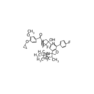 COc1cc(C(=O)NCC(O)(c2cc3c(c(-c4ccc(F)cc4)n2)OCC3(N[S+]([O-])C(C)(C)C)C(C)C)C(F)(F)F)ccc1OC1CC1